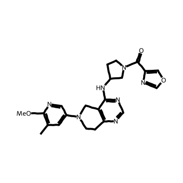 COc1ncc(N2CCc3ncnc(NC4CCN(C(=O)c5cocn5)C4)c3C2)cc1C